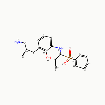 CC(C)C[C@@H](Nc1cccc(C[C@@H](C)CN)c1O)S(=O)(=O)c1ccccc1